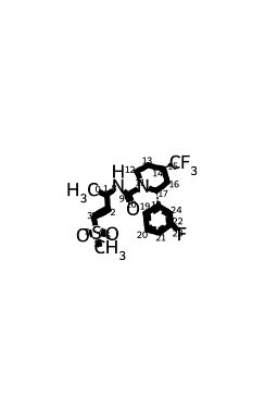 CC(/C=C/S(C)(=O)=O)NC(=O)N1CC[C@H](C(F)(F)F)C[C@@H]1c1cccc(F)c1